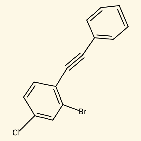 Clc1ccc(C#Cc2ccccc2)c(Br)c1